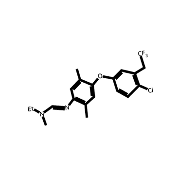 CCN(C)C=Nc1cc(C)c(Oc2ccc(Cl)c(CC(F)(F)F)c2)cc1C